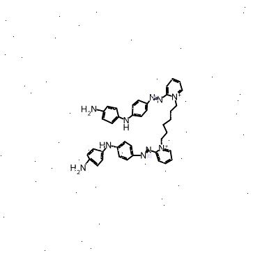 Nc1ccc(Nc2ccc(/N=N/c3cccc[n+]3CCCCCC[n+]3ccccc3/N=N/c3ccc(Nc4ccc(N)cc4)cc3)cc2)cc1